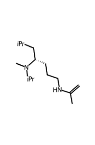 C=C(C)NCCC[C@@H](CC(C)C)N(C)C(C)C